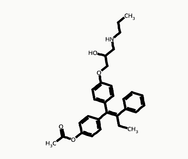 CCCNCC(O)COc1ccc(C(=C(CC)c2ccccc2)c2ccc(OC(C)=O)cc2)cc1